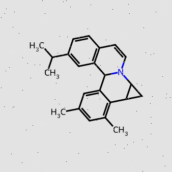 Cc1cc(C)c2c(c1)C1c3cc(C(C)C)ccc3C=CN1C1CC21